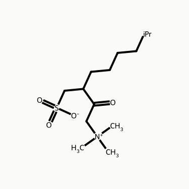 CC(C)CCCCC(CS(=O)(=O)[O-])C(=O)C[N+](C)(C)C